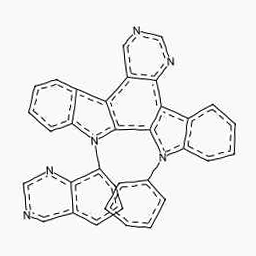 c1ccc(-n2c3ccccc3c3c4ncncc4c4c5ccccc5n(-c5cccc6cncnc56)c4c32)cc1